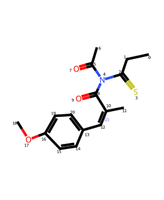 CCC(=S)N(C(C)=O)C(=O)/C(C)=C\c1ccc(OC)cc1